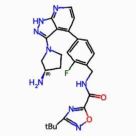 CC(C)(C)c1noc(C(=O)NCc2ccc(-c3ccnc4[nH]nc(N5CC[C@@H](N)C5)c34)cc2F)n1